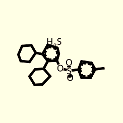 Cc1ccc(S(=O)(=O)Oc2cccc(C3CCCCC3)c2C2CCCCC2)cc1.S